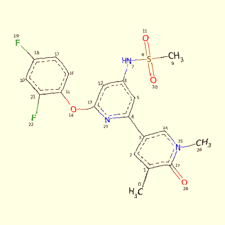 Cc1cc(-c2cc(NS(C)(=O)=O)cc(Oc3ccc(F)cc3F)n2)cn(C)c1=O